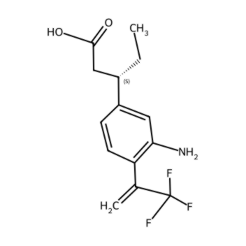 C=C(c1ccc([C@@H](CC)CC(=O)O)cc1N)C(F)(F)F